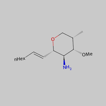 CCCCCC/C=C/[C@@H]1OC[C@H](C)[C@H](OC)[C@H]1N